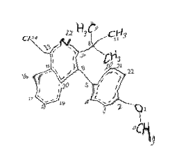 COc1ccc(-c2c(C(C)(C)C)nc(Cl)c3ccccc23)cc1